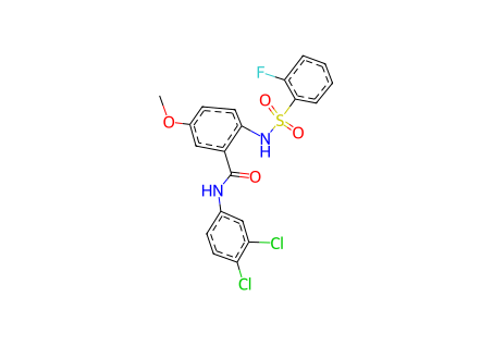 COc1ccc(NS(=O)(=O)c2ccccc2F)c(C(=O)Nc2ccc(Cl)c(Cl)c2)c1